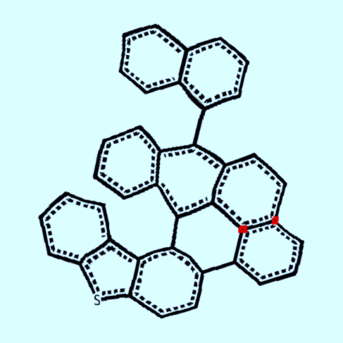 c1ccc(-c2ccc3sc4ccccc4c3c2-c2c3ccccc3c(-c3cccc4ccccc34)c3ccccc23)cc1